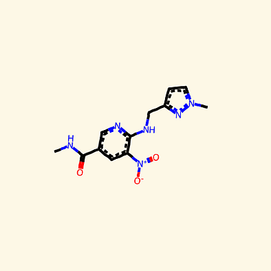 CNC(=O)c1cnc(NCc2ccn(C)n2)c([N+](=O)[O-])c1